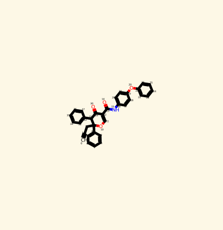 C#CCC1(c2ccccc2)OC=C(C(=O)Nc2ccc(Oc3ccccc3)cc2)C(=O)C1c1ccccc1